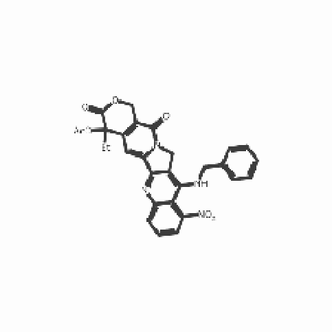 CCC1(OC(C)=O)C(=O)OCc2c1cc1n(c2=O)Cc2c-1nc1cccc([N+](=O)[O-])c1c2NCc1ccccc1